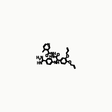 C=CCOc1ccc(C(Nc2ccc(C(=N)N)cc2)C(=O)NNC(=O)c2cnccc2C)cc1OCC=C